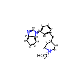 O=C(O)N1CCC(Cc2cccc(-n3cnc4ccccc43)c2)CC1